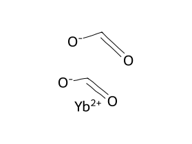 O=C[O-].O=C[O-].[Yb+2]